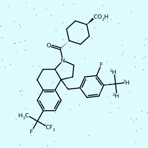 [2H]C([2H])([2H])c1ccc(CC23CCN(C(=O)[C@H]4CC[C@H](C(=O)O)CC4)C2CCc2cc(C(C)(F)C(F)(F)F)ccc23)cc1F